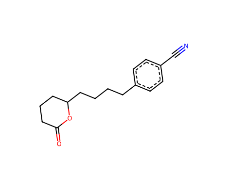 N#Cc1ccc(CCCCC2CCCC(=O)O2)cc1